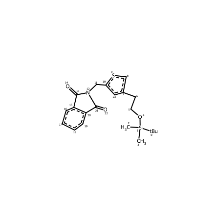 CC(C)(C)[Si](C)(C)OCCc1csc(CN2C(=O)c3ccccc3C2=O)c1